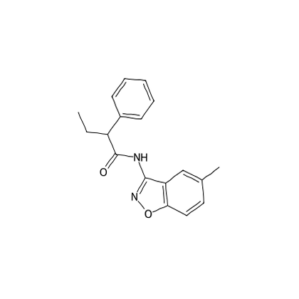 CCC(C(=O)Nc1noc2ccc(C)cc12)c1ccccc1